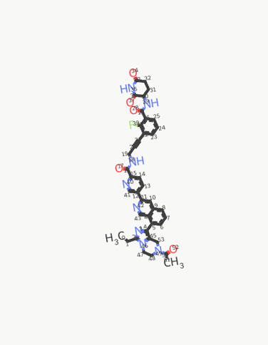 CCc1nc(-c2cccc3cc(-c4ccc(C(=O)NCC#Cc5cccc(C(=O)NC6CCC(=O)NC6=O)c5F)nc4)ncc23)c2n1CCN(C(C)=O)C2